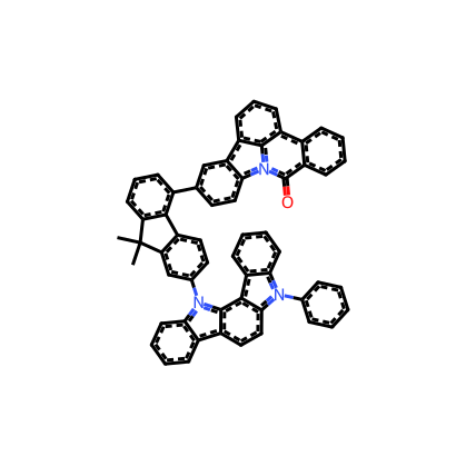 CC1(C)c2cc(-n3c4ccccc4c4ccc5c(c6ccccc6n5-c5ccccc5)c43)ccc2-c2c(-c3ccc4c(c3)c3cccc5c6ccccc6c(=O)n4c53)cccc21